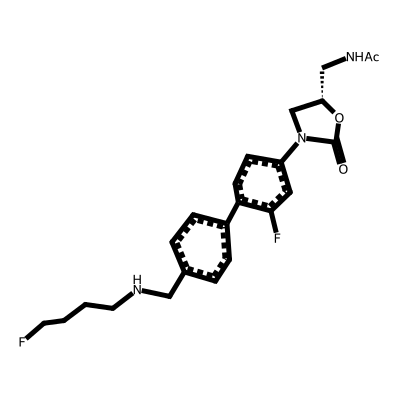 CC(=O)NC[C@H]1CN(c2ccc(-c3ccc(CNCCCCF)cc3)c(F)c2)C(=O)O1